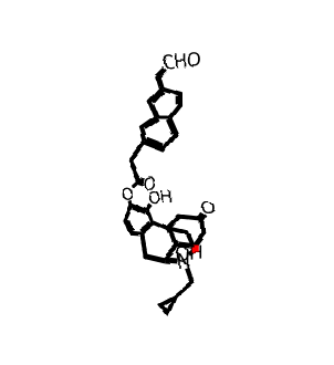 O=CCc1ccc2ccc(CC(=O)Oc3ccc4c(c3O)C35CCN(CC6CC6)C(C4)C3(O)CCC(=O)C5)cc2c1